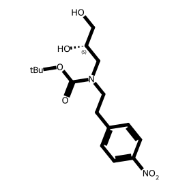 CC(C)(C)OC(=O)N(CCc1ccc([N+](=O)[O-])cc1)C[C@H](O)CO